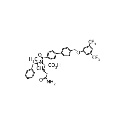 CC(C)(Cc1ccccc1)N(C(=O)c1ccc(-c2ccc(COc3cc(C(F)(F)F)cc(C(F)(F)F)c3)cc2)cc1)[C@@H](CCC(N)=O)C(=O)O